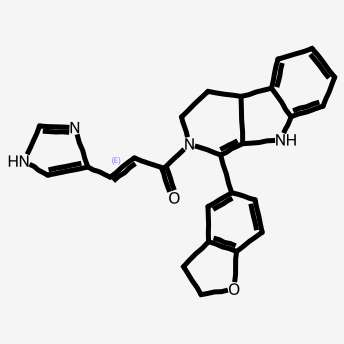 O=C(/C=C/c1c[nH]cn1)N1CCC2C(=C1c1ccc3c(c1)CCO3)Nc1ccccc12